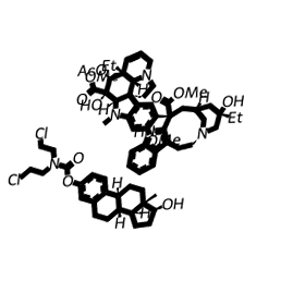 CC[C@]1(O)C[C@@H]2C[N@@](CCc3c([nH]c4ccccc34)[C@@](C(=O)OC)(c3cc4c(cc3OC)N(C)[C@H]3[C@@](O)(C(=O)OC)[C@H](OC(C)=O)[C@]5(CC)C=CCN6CC[C@]43[C@@H]65)C2)C1.C[C@]12CC[C@@H]3c4ccc(OC(=O)N(CCCl)CCCl)cc4CC[C@H]3[C@@H]1CC[C@@H]2O